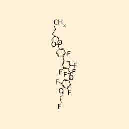 CCCCC1COC(c2ccc(-c3cc(F)c(C(F)(F)Oc4cc(F)c(OCCCF)c(F)c4)c(F)c3)c(F)c2)OC1